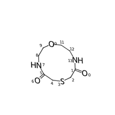 O=C1CSCC(=O)NCCOCCN1